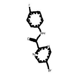 O=C(Nc1ccc(F)cc1)c1ncc(Br)cn1